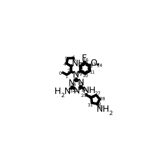 CCC(C1CCCN1)N(c1ccc(OC)c(F)c1)c1nc(N)nc(NCC2CCC(N)C2)n1